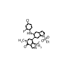 CCS(=O)(=O)n1ccc2cc(Nc3ccc(Cl)cc3F)c(-c3cn(C)c(=O)c4cnn(C)c34)cc21